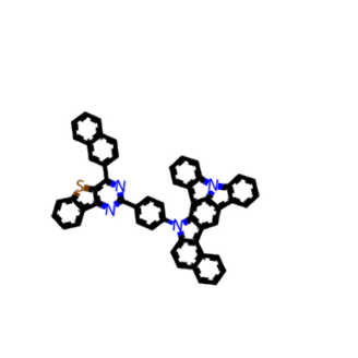 c1ccc2cc(-c3nc(-c4ccc(-n5c6ccc7ccccc7c6c6cc7c8ccccc8n8c9ccccc9c(c65)c78)cc4)nc4c3sc3ccccc34)ccc2c1